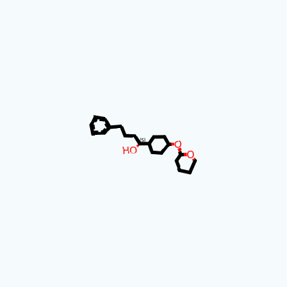 O[C@@H](CCCc1ccccc1)C1CCC(OC2CCCCO2)CC1